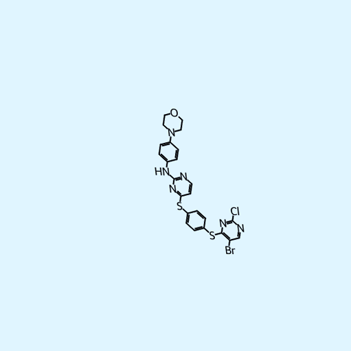 Clc1ncc(Br)c(Sc2ccc(Sc3ccnc(Nc4ccc(N5CCOCC5)cc4)n3)cc2)n1